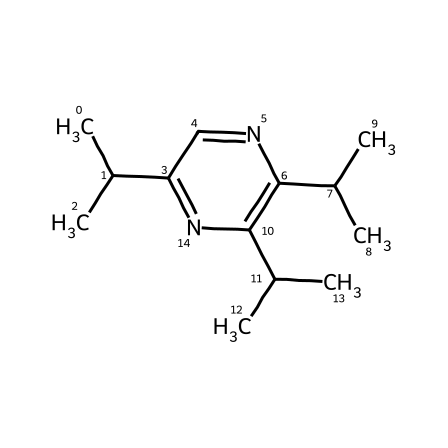 CC(C)c1cnc(C(C)C)c(C(C)C)n1